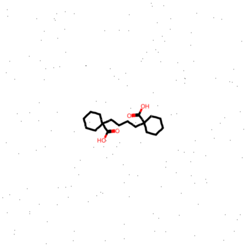 O=C(O)C1(CCCCC2(C(=O)O)CCCCC2)CCCCC1